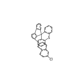 Clc1ccc2cc(-c3cccc4c3C3(c5ccccc5Sc5ccccc53)c3ccccc3-4)ccc2c1